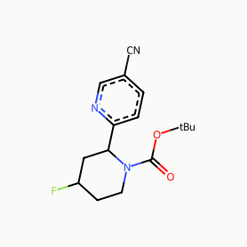 CC(C)(C)OC(=O)N1CCC(F)CC1c1ccc(C#N)cn1